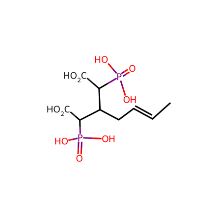 C/C=C/CC(C(C(=O)O)P(=O)(O)O)C(C(=O)O)P(=O)(O)O